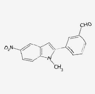 Cn1c(-c2cccc(C=O)c2)cc2cc([N+](=O)[O-])ccc21